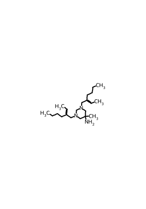 CC=C(CCCC)CN1CN(CC(=CC)CCCC)CC(C)(N)C1